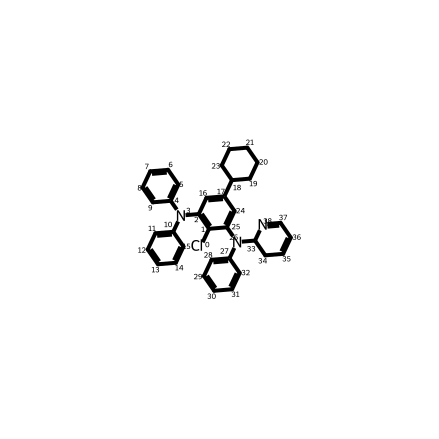 Clc1c(N(c2ccccc2)c2ccccc2)cc(C2CCCCC2)cc1N(c1ccccc1)C1CC=CC=N1